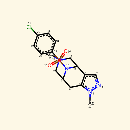 CC(=O)N1CC2Cc3c(cnn3C(C)=O)C(C1)N2S(=O)(=O)c1ccc(Cl)cc1